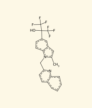 Cc1cc2cc(C(O)(C(F)(F)F)C(F)(F)F)ccc2n1Cc1ccc2ccccc2n1